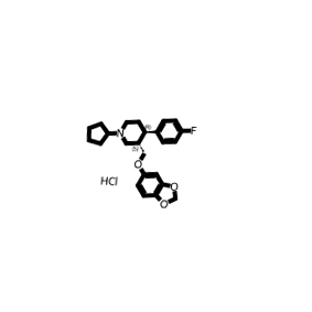 Cl.Fc1ccc([C@@H]2CCN(C3CCCC3)C[C@H]2COc2ccc3c(c2)OCO3)cc1